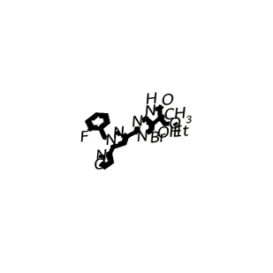 CCOC(O)C1(C)C(=O)Nc2nc(-c3cc(-c4ccon4)n(Cc4ccccc4F)n3)nc(Br)c21